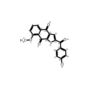 COc1cccc2c1C(=O)c1sc(C(=O)c3ccc(Cl)cc3)cc1C2=O